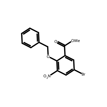 COC(=O)c1cc(Br)cc([N+](=O)[O-])c1OCc1ccccc1